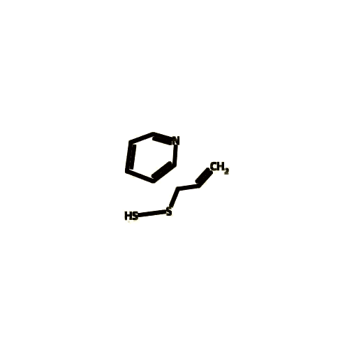 C=CCSS.c1ccncc1